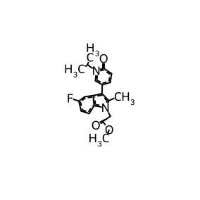 COC(=O)Cn1c(C)c(-c2ccc(=O)n(C(C)C)c2)c2cc(F)ccc21